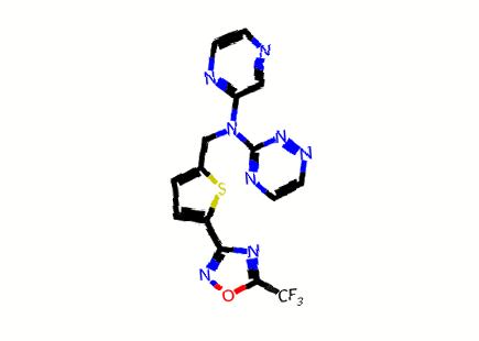 FC(F)(F)c1nc(-c2ccc(CN(c3cnccn3)c3nccnn3)s2)no1